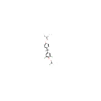 CC(=O)OC(CC=O)COc1ccc(C(C)(C)c2cc(Cl)c(OCC(CCl)OC(C)=O)c(Cl)c2)cc1